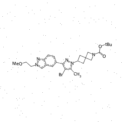 COCCn1cc2cc(-c3nn(C4CC5(C4)CN(C(=O)OC(C)(C)C)C5)c(C)c3Br)ccc2n1